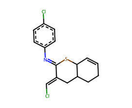 Cl/C=C1\CC2CCC=CC2S\C1=N/c1ccc(Cl)cc1